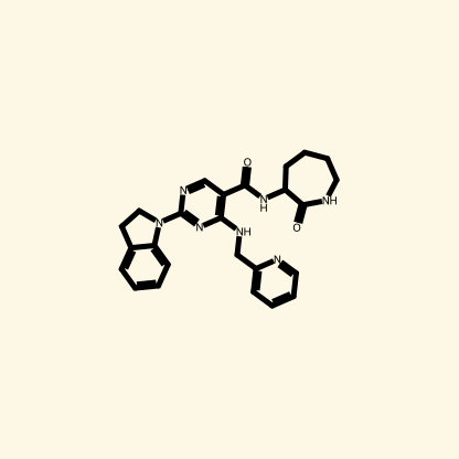 O=C(NC1CCCCNC1=O)c1cnc(N2CCc3ccccc32)nc1NCc1ccccn1